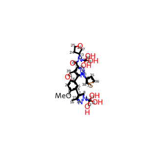 COc1cc2c(cc1-c1cn(C(O)(O)O)nc1C)-c1c(c(C(=O)N(C3CCOC3)C(O)(O)O)nn1-c1ccsc1)CO2